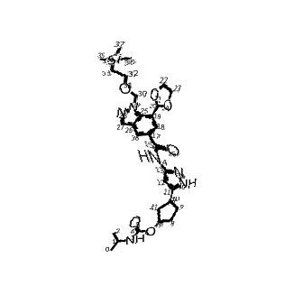 CC(C)NC(=O)O[C@@H]1CC[C@H](c2cc(NC(=O)c3cc(C4OCCO4)c4c(cnn4COCC[Si](C)(C)C)c3)n[nH]2)C1